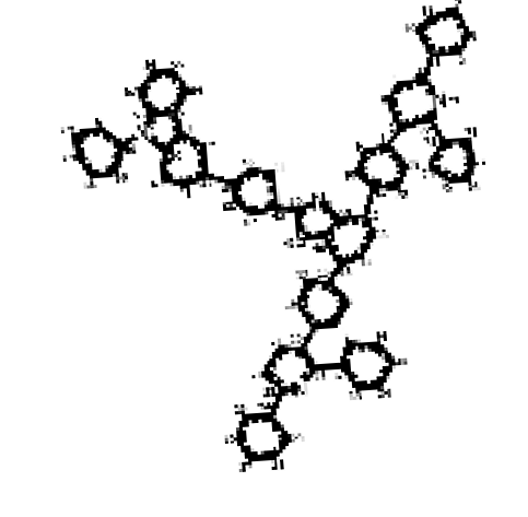 c1ccc(-c2ccc(-c3ccc(-c4ccc(-c5ccc(-c6ccc(-c7ccccc7)nc6-c6ccccc6)cc5)c5sc(-c6ccc(-c7ccc8c(c7)c7ccccc7n8-c7ccccc7)cc6)nc45)cc3)c(-c3ccccc3)n2)cc1